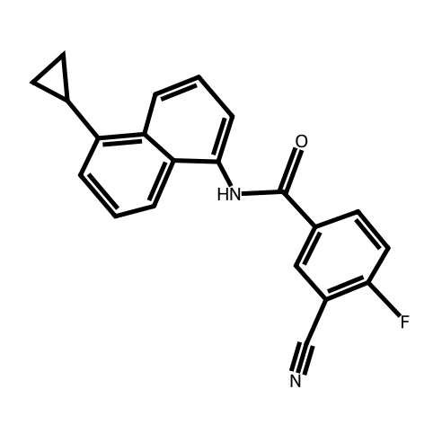 N#Cc1cc(C(=O)Nc2cccc3c(C4CC4)cccc23)ccc1F